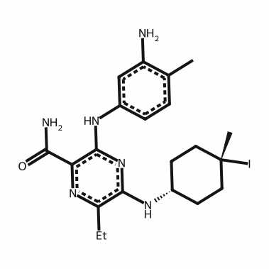 CCc1nc(C(N)=O)c(Nc2ccc(C)c(N)c2)nc1N[C@H]1CC[C@@](C)(I)CC1